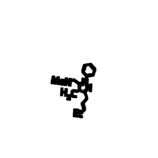 CC/C=C/Cc1nn(-c2ccccc2)c(CNC)c1C